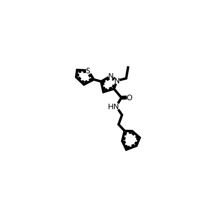 CCn1nc(-c2cccs2)cc1C(=O)NCCc1ccccc1